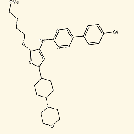 COCCCCOc1nn(C2CCC(N3CCOCC3)CC2)cc1Nc1ncc(-c2ccc(C#N)cc2)cn1